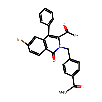 CCC(=O)c1c(-c2ccccc2)c2cc(Br)ccc2c(=O)n1Cc1ccc(C(=O)OC)cc1